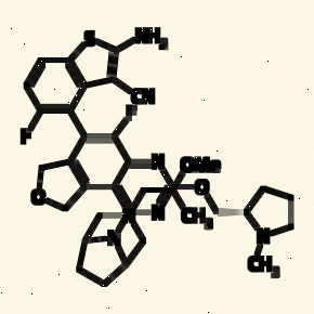 COC(C)CN1CC2CCC(C1)N2c1nc(OC[C@@H]2CCCN2C)nc2c(F)c(-c3c(F)ccc4sc(N)c(C#N)c34)c3c(c12)COC3